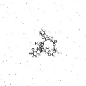 Cc1cc2ccc1[C@@H](C)COC(=O)Nc1ccc(Oc3ccccn3)c(c1)CN(C)C(=O)[C@@H]2Nc1ccc2cc[nH]c(=O)c2c1